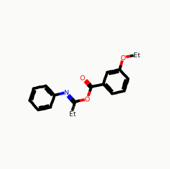 CCOc1cccc(C(=O)OC(CC)=Nc2ccccc2)c1